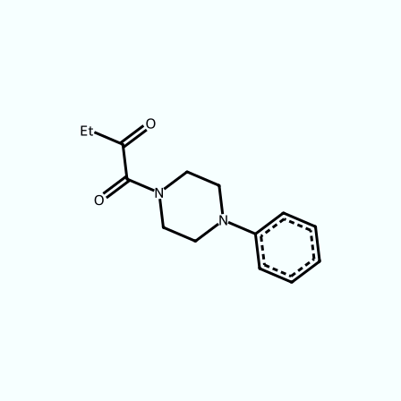 CCC(=O)C(=O)N1CCN(c2ccccc2)CC1